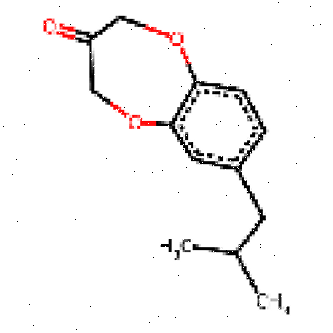 CC(C)Cc1ccc2c(c1)OCC(=O)CO2